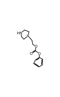 O=C(OCCN1CCNCC1)Oc1ccccc1